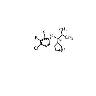 CC(C)[C@H](Oc1ccc(Cl)c(F)c1F)C1CCNC1